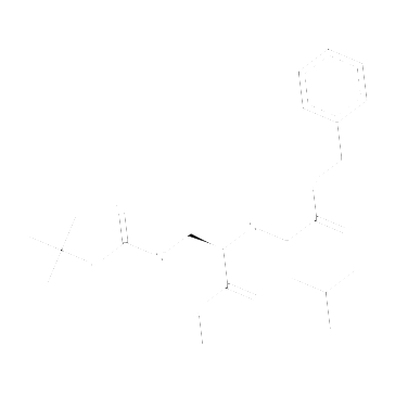 COC(=O)[C@@H](CNC(=O)OC(C)(C)C)N[C@@H](CC(C)C)C(=O)OCc1ccccc1